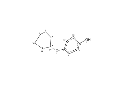 Oc1ccc(O[C@H]2CCCCS2)cc1